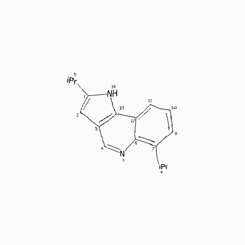 CC(C)c1cc2cnc3c(C(C)C)cccc3c2[nH]1